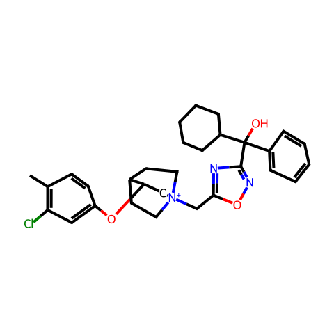 Cc1ccc(OC2C[N+]3(Cc4nc(C(O)(c5ccccc5)C5CCCCC5)no4)CCC2CC3)cc1Cl